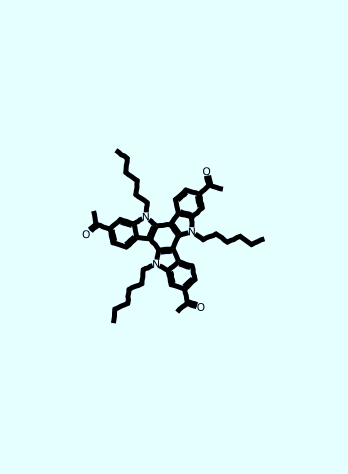 CCCCCCn1c2cc(C(C)=O)ccc2c2c1c1c3ccc(C(C)=O)cc3n(CCCCCC)c1c1c3ccc(C(C)=O)cc3n(CCCCCC)c21